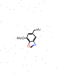 COc1cc(CC(C)=O)cc2ncoc12